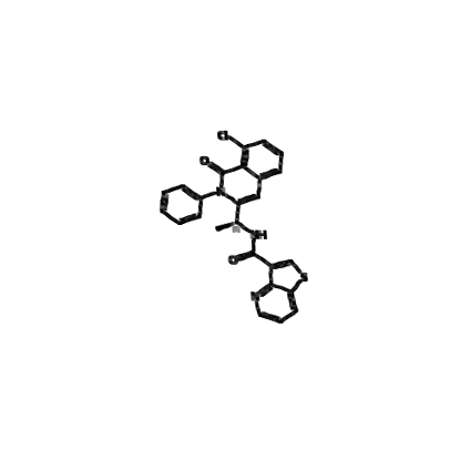 C[C@H](NC(=O)c1csc2cccnc12)c1cc2cccc(Cl)c2c(=O)n1-c1ccccc1